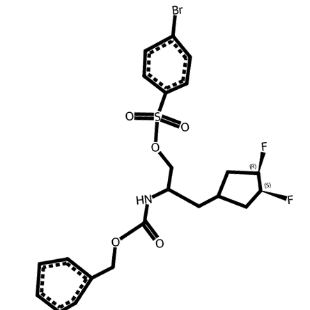 O=C(NC(COS(=O)(=O)c1ccc(Br)cc1)CC1C[C@@H](F)[C@@H](F)C1)OCc1ccccc1